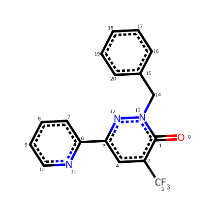 O=c1c(C(F)(F)F)cc(-c2ccccn2)nn1Cc1ccccc1